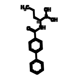 CCC[C@H](NC(=O)c1ccc(-c2ccccc2)cc1)B(O)O